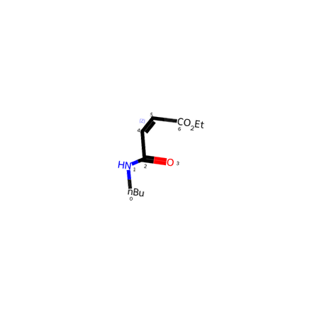 CCCCNC(=O)/C=C\C(=O)OCC